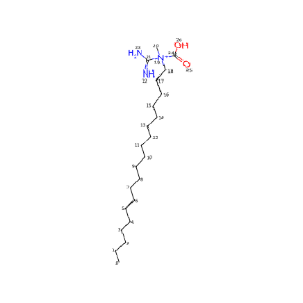 CCCCCCCCCCCCCCCCCCC[N+](C)(C(=N)N)C(=O)O